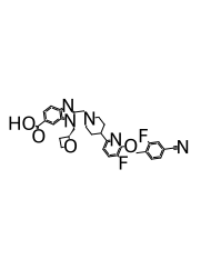 N#Cc1ccc(COc2nc(C3CCN(Cc4nc5ccc(C(=O)O)cc5n4C[C@@H]4CCO4)CC3)ccc2F)c(F)c1